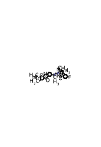 C=N/C(OC)=C(\C=C(/C)c1ccc2ncn(C[C@@H](CC)C(=O)NC)c(=O)c2c1)NS(=O)(=O)c1ccc(F)cc1Cl